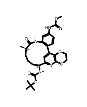 COC(=O)Nc1ccc2c(c1)NC(=O)[C@H](C)CCC[C@H](NC(=O)OC(C)(C)C)c1cc-2c2c(n1)OCCO2